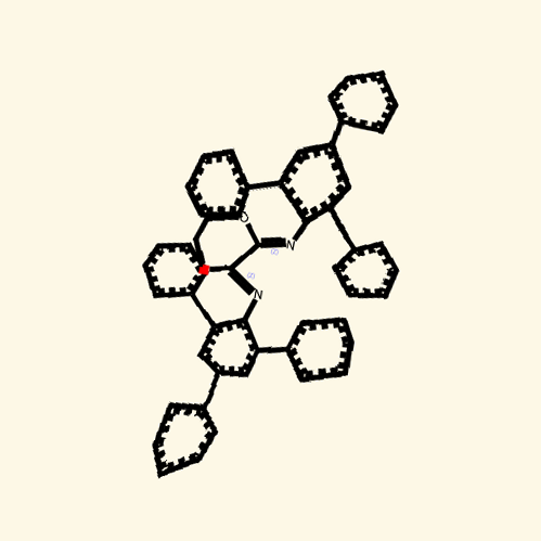 c1ccc(-c2cc(-c3ccccc3)c(/N=C3\OCCO\C3=N/c3c(-c4ccccc4)cc(-c4ccccc4)cc3-c3ccccc3)c(-c3ccccc3)c2)cc1